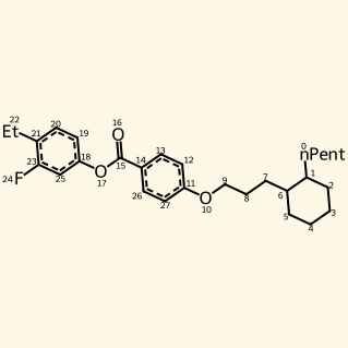 CCCCCC1CCCCC1CCCOc1ccc(C(=O)Oc2ccc(CC)c(F)c2)cc1